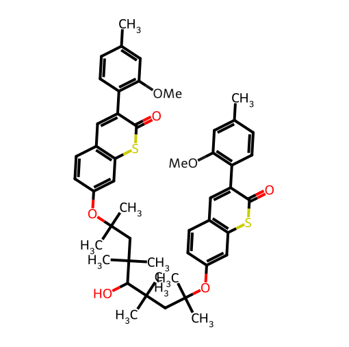 COc1cc(C)ccc1-c1cc2ccc(OC(C)(C)CC(C)(C)C(O)C(C)(C)CC(C)(C)Oc3ccc4cc(-c5ccc(C)cc5OC)c(=O)sc4c3)cc2sc1=O